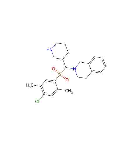 Cc1cc(S(=O)(=O)C(C2CCCNC2)N2CCc3ccccc3C2)c(C)cc1Cl